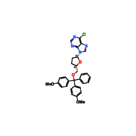 COc1ccc(C(OC[C@@H]2CC[C@H](n3cnc4c(Cl)ncnc43)O2)(c2ccccc2)c2ccc(OC)cc2)cc1